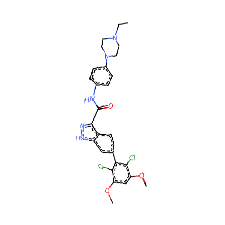 CCN1CCN(c2ccc(NC(=O)c3n[nH]c4cc(-c5c(Cl)c(OC)cc(OC)c5Cl)ccc34)cc2)CC1